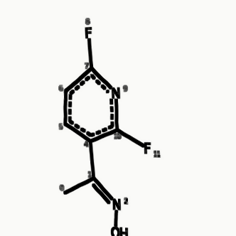 CC(=NO)c1ccc(F)nc1F